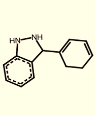 C1=CCCC(C2NNc3ccccc32)=C1